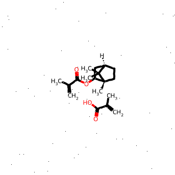 C=C(C)C(=O)O.C=C(C)C(=O)OC1C[C@H]2CC[C@@]1(C)C2(C)C